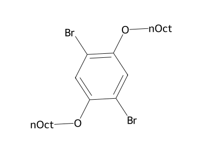 CCCCCCCCOc1cc(Br)c(OCCCCCCCC)cc1Br